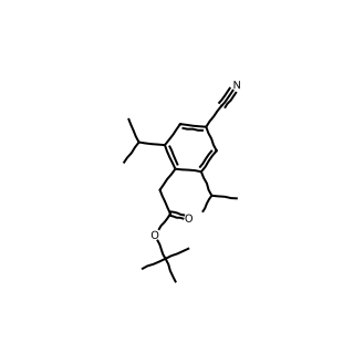 CC(C)c1cc(C#N)cc(C(C)C)c1CC(=O)OC(C)(C)C